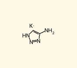 Nc1c[nH]nn1.[K]